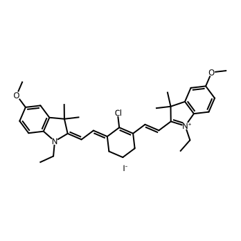 CCN1/C(=C/C=C2\CCCC(/C=C/C3=[N+](CC)c4ccc(OC)cc4C3(C)C)=C2Cl)C(C)(C)c2cc(OC)ccc21.[I-]